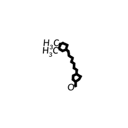 CC1CCC(CCCCCCCC2CCC(C=O)CC2)CC1C